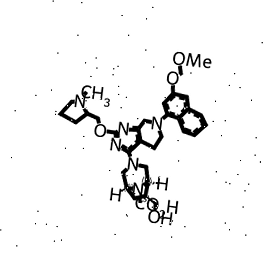 COCOc1cc(N2CCc3c(nc(OCC4CCCN4C)nc3N3C[C@@H]4C[C@H](CO)[C@H](C3)N4C(=O)O)C2)c2ccccc2c1